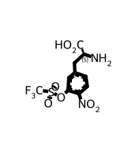 N[C@@H](Cc1ccc([N+](=O)[O-])c(OS(=O)(=O)C(F)(F)F)c1)C(=O)O